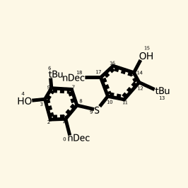 CCCCCCCCCCc1cc(O)c(C(C)(C)C)cc1Sc1cc(C(C)(C)C)c(O)cc1CCCCCCCCCC